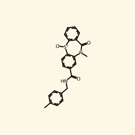 Cc1ccc(CNC(=O)c2ccc3c(c2)N(C)C(=O)c2ccccc2[S+]3[O-])cc1